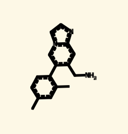 Cc1ccc(-c2cn3ccnc3cc2CN)c(C)c1